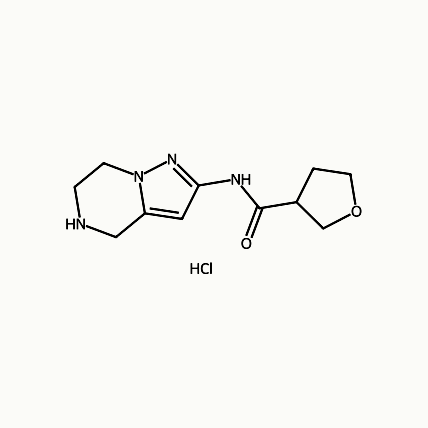 Cl.O=C(Nc1cc2n(n1)CCNC2)C1CCOC1